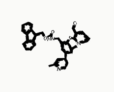 Cc1cc(-c2cc(C)c(Sc3ncccc3C=O)c(CNC(=O)OCC3c4ccccc4-c4ccccc43)c2)ccn1